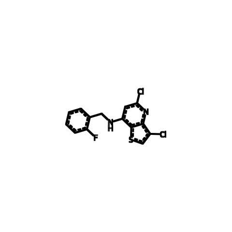 Fc1ccccc1CNc1cc(Cl)nc2c(Cl)csc12